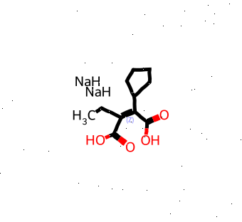 CC/C(C(=O)O)=C(/C(=O)O)C1CCCC1.[NaH].[NaH]